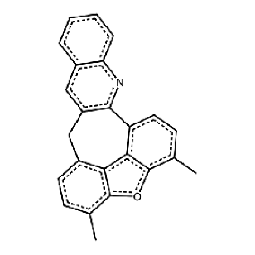 Cc1ccc2c3c1oc1c(C)ccc(c13)-c1nc3ccccc3cc1C2